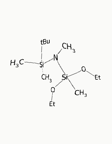 CCO[Si](C)(OCC)N(C)[Si](C)(C)C(C)(C)C